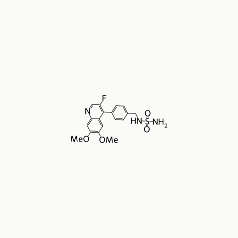 COc1cc2ncc(F)c(-c3ccc(CNS(N)(=O)=O)cc3)c2cc1OC